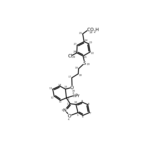 CCCC1(c2noc3ccccc23)C=CC=CC1OCCCSc1ccc(CC(=O)O)cc1Cl